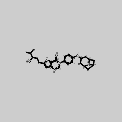 CC(C)C(O)CCc1cc2ncn(-c3ccc(OC4CC5CC6CC(C4)N56)cc3)c(=O)c2s1